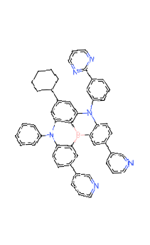 c1ccc(N2c3ccc(-c4cccnc4)cc3B3c4cc(-c5cccnc5)ccc4N(c4cccc(-c5ncccn5)c4)c4cc(C5CCCCC5)cc2c43)cc1